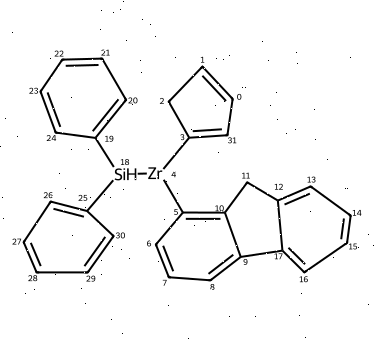 C1=CC[C]([Zr]([c]2cccc3c2Cc2ccccc2-3)[SiH](c2ccccc2)c2ccccc2)=C1